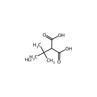 CC(C)(C)C(C(=O)O)C(=O)O.[LiH]